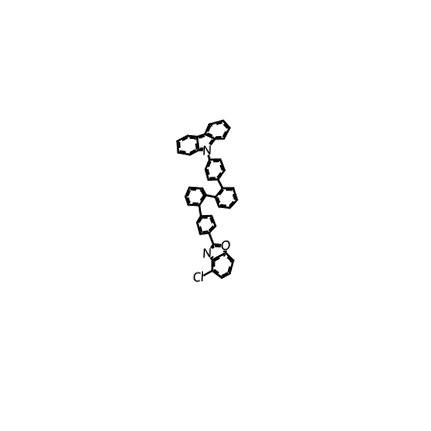 Clc1cccc2oc(-c3ccc(-c4ccccc4-c4ccccc4-c4ccc(-n5c6ccccc6c6ccccc65)cc4)cc3)nc12